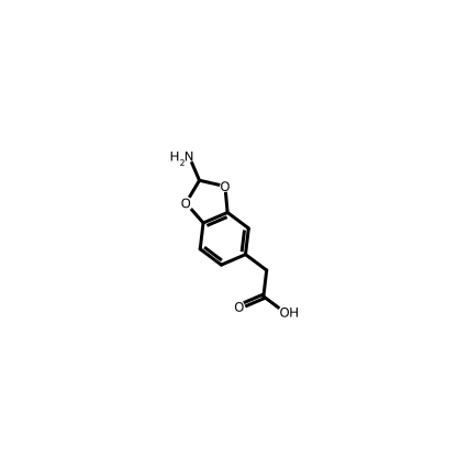 NC1Oc2ccc(CC(=O)O)cc2O1